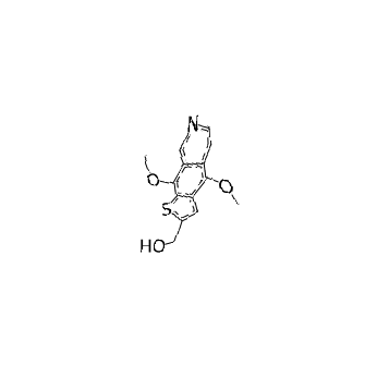 COc1c2ccncc2c(OC)c2sc(CO)cc12